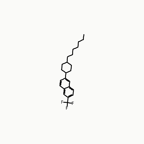 CCCCCCCC1CCC(c2ccc3cc(C(F)(F)F)ccc3c2)CC1